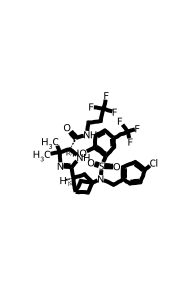 CC1(C)N=C([C@H]2CC3(N(Cc4ccc(Cl)cc4)S(=O)(=O)c4cc(C(F)(F)F)ccc4O)CC2C3)N[C@H]1C(=O)NCCC(F)(F)F